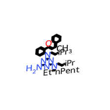 CCCCCC(CC)N(CCC(C)C)c1nc(N)nc(N(CCC(C)C)c2ccccc2C2=CC(C)=C3CC=CC=C3O2)n1